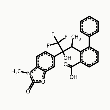 CC(c1c(C(=O)O)cccc1-c1ccccc1)C(O)(c1ccc2c(c1)oc(=O)n2C)C(F)(F)F